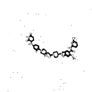 CC(C)Oc1cc2nn(C3CCN(C(=O)CC4(O)CCN(c5ccc(NC6CCC(=O)NC6=O)cc5F)CC4)CC3)cc2cc1C(=O)Nc1cccc(C(F)(F)F)n1